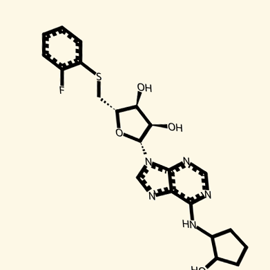 OC1CCCC1Nc1ncnc2c1ncn2[C@@H]1O[C@H](CSc2ccccc2F)[C@@H](O)[C@H]1O